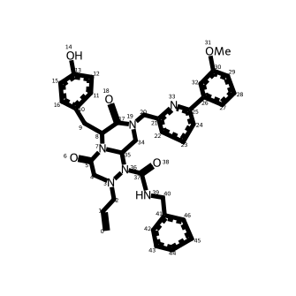 C=CCN1CC(=O)N2C(Cc3ccc(O)cc3)C(=O)N(Cc3cccc(-c4cccc(OC)c4)n3)CC2N1C(=O)NCc1ccccc1